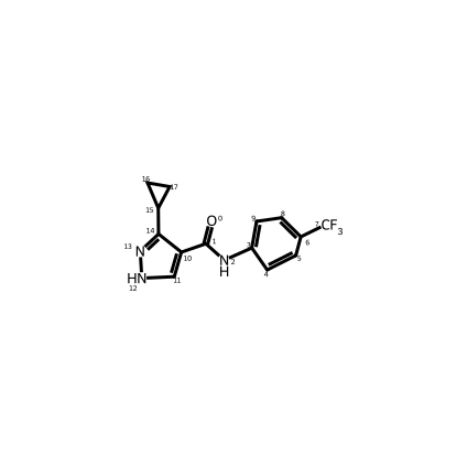 O=C(Nc1ccc(C(F)(F)F)cc1)c1c[nH]nc1C1CC1